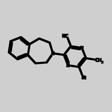 CCc1nc(N2CCc3ccccc3CC2)c(C#N)nc1C